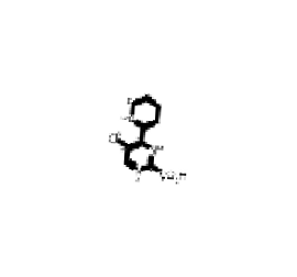 O=C(O)c1ncc(Cl)c(C2CCCCO2)n1